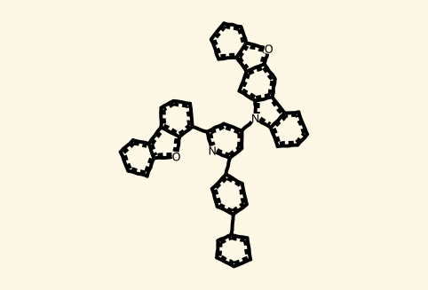 c1ccc(-c2ccc(-c3cc(-n4c5ccccc5c5cc6oc7ccccc7c6cc54)cc(-c4cccc5c4oc4ccccc45)n3)cc2)cc1